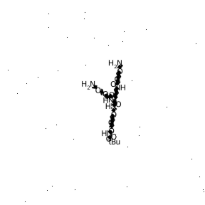 CC(C)(C)OC(=O)NOCCOCCOCCNC(=O)[C@H](CCCCNC(=O)COCCOCCN)NC(=O)COCCOCCN